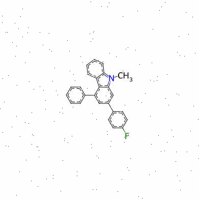 Cn1c2ccccc2c2c(-c3ccccc3)cc(-c3ccc(F)cc3)cc21